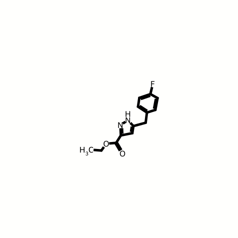 CCOC(=O)c1cc(Cc2ccc(F)cc2)[nH]n1